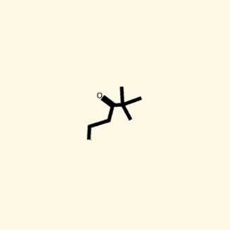 [CH2]CCC(=O)C(C)(C)C